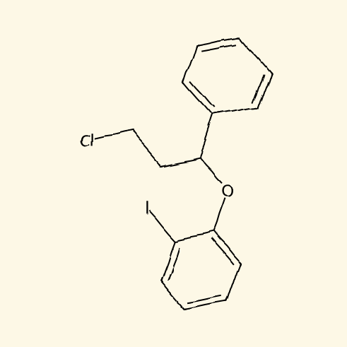 ClCCC(Oc1ccccc1I)c1ccccc1